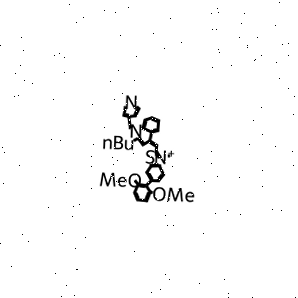 CCCCC1=CC(=Cc2sc3cc(-c4c(OC)cccc4OC)ccc3[n+]2C)c2ccccc2N1Cc1ccncc1